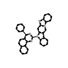 c1ccc(-c2nc(-n3c4ccccc4c4cn5c(cc43)nc3ccccc35)nc3c2ccc2ccccc23)cc1